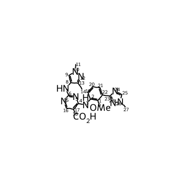 COc1c(Nc2nc(Nc3cn(C)nc3C)ncc2C(=O)O)cccc1-c1ncn(C)n1